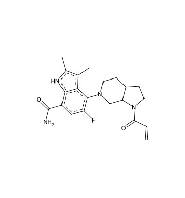 C=CC(=O)N1CCC2CCN(c3c(F)cc(C(N)=O)c4[nH]c(C)c(C)c34)CC21